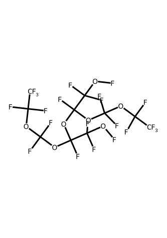 FOC(F)(F)C(F)(OC(F)(F)OC(F)(F)C(F)(F)F)OC(F)(OC(F)(F)OC(F)(F)C(F)(F)F)C(F)(F)OF